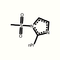 CCCc1nccn1S(C)(=O)=O